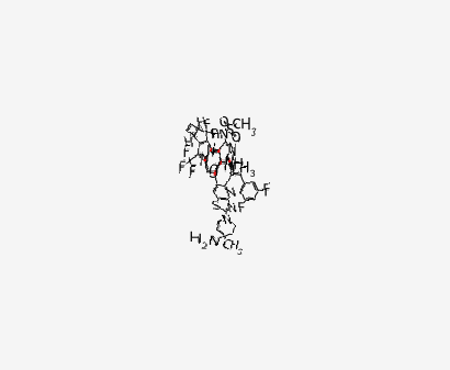 Cn1nc(NS(C)(=O)=O)c2cccc(-c3cc4sc(N5CCC(C)(N)CC5)nc4nc3C(Cc3cc(F)cc(F)c3)NC(=O)Cn3nc(C(F)(F)F)c4c3C(F)(F)[C@@H]3C=C[C@H]43)c21